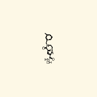 Cc1cccc(CN2CCn3nc(C(=O)NO)cc3C2=O)c1